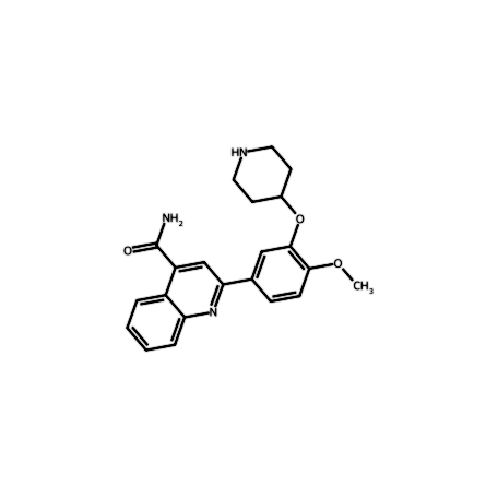 COc1ccc(-c2cc(C(N)=O)c3ccccc3n2)cc1OC1CCNCC1